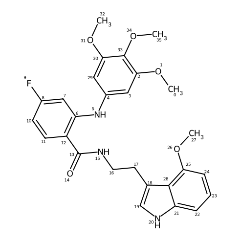 COc1cc(Nc2cc(F)ccc2C(=O)NCCc2c[nH]c3cccc(OC)c23)cc(OC)c1OC